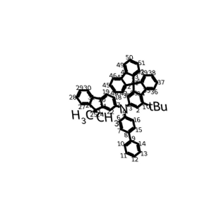 CC(C)(C)c1cc(N(c2ccc(-c3ccccc3)cc2)c2ccc3c(c2)C(C)(C)c2ccccc2-3)cc2c1-c1ccccc1C21c2ccccc2-c2ccccc21